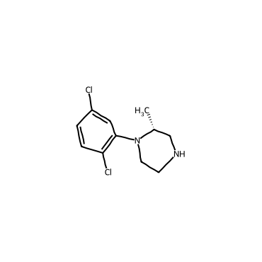 C[C@@H]1CNCCN1c1cc(Cl)ccc1Cl